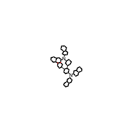 c1ccc(-c2ccc(N(c3ccc4ccccc4c3)c3ccc4ccccc4c3)cc2-c2cccc(N(c3ccc4ccccc4c3)c3ccc4ccccc4c3)c2)cc1